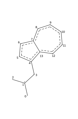 C[C](C)Cc1ccc2cccccc1-2